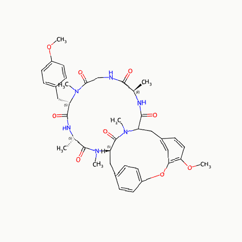 COc1ccc(C[C@H]2C(=O)N[C@@H](C)C(=O)N(C)[C@H]3Cc4ccc(cc4)Oc4cc(ccc4OC)CC(C(=O)N[C@H](C)C(=O)NCC(=O)N2C)N(C)C3=O)cc1